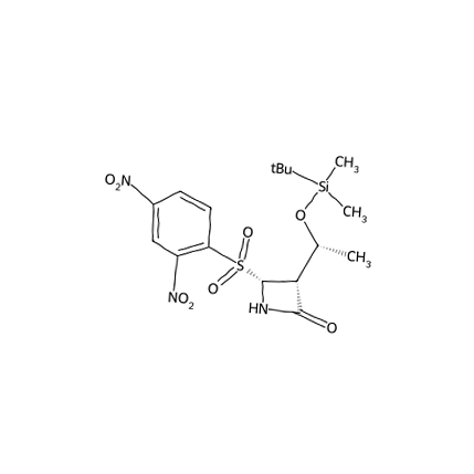 C[C@@H](O[Si](C)(C)C(C)(C)C)[C@@H]1C(=O)N[C@@H]1S(=O)(=O)c1ccc([N+](=O)[O-])cc1[N+](=O)[O-]